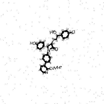 COc1ncccc1-c1ccc(N2C(=O)[C@H](SC[C@@H](O)c3ccc(Cl)cc3)[C@H]2c2ccc(O)cc2)cc1